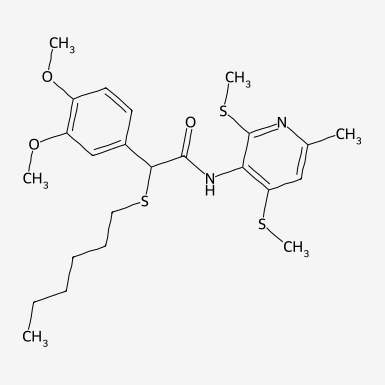 CCCCCCSC(C(=O)Nc1c(SC)cc(C)nc1SC)c1ccc(OC)c(OC)c1